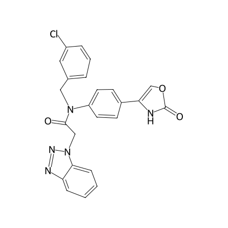 O=C(Cn1nnc2ccccc21)N(Cc1cccc(Cl)c1)c1ccc(-c2coc(=O)[nH]2)cc1